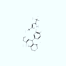 O=C1CCCC2=C1C(c1ccc(F)c(-n3nc(C(F)(F)F)cc3C(F)(F)F)c1)C1=C(CCS1)N2